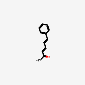 CCCC(=O)C=CC=Cc1ccccc1